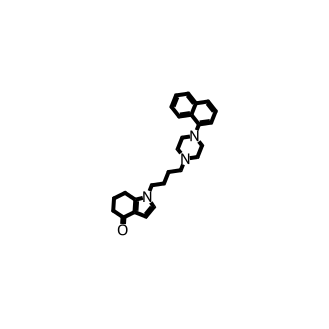 O=C1CCCc2c1ccn2CCCCN1CCN(c2cccc3ccccc23)CC1